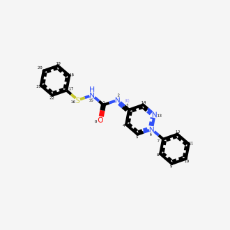 O=C(/N=c1\ccn(-c2ccccc2)nc1)NSc1ccccc1